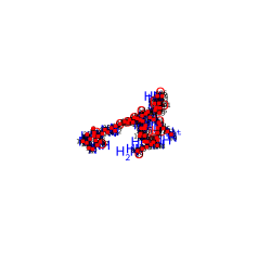 C=CC(=O)Nc1cc(Nc2nccc(-c3cn(C)c4ccccc34)n2)c(OC)cc1N(C)CCN(C)Cc1cn(CCOCCOCCOCCNC(=O)C(CSCCNC(=O)C(CCCCN=[N+]=[N-])NC(=O)CCC(=O)N[C@H](C(=O)N[C@@H](CCCNC(N)=O)C(=O)Nc2ccc(Cn3c(O)nc4c(N)nc(OCCCC)nc43)cc2)C(C)C)CC(=O)Nc2cccc3c2C(=O)N(C2CCC(=O)NC2=O)C3=O)nn1